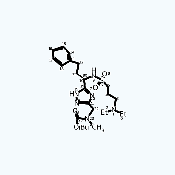 CCN(CC)CCCS(=O)(=O)N[C@H](CCc1ccccc1)c1nc(CN(C)C(=O)OCC(C)C)n[nH]1